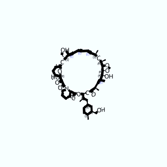 CO[C@H]1C(=O)[C@H](C)C[C@H](C)/C=C/C=C/C=C(\C)[C@@H](CO)C[C@@H]2CC[C@@H](C)[C@@](O)(O2)C(=O)C(=O)N2CCCC[C@H]2C(=O)O[C@H]([C@H](C)C[C@@H]2CC[C@H](C)[C@H](CO)C2)CC(=O)[C@H](C)/C=C(\C)[C@H]1O